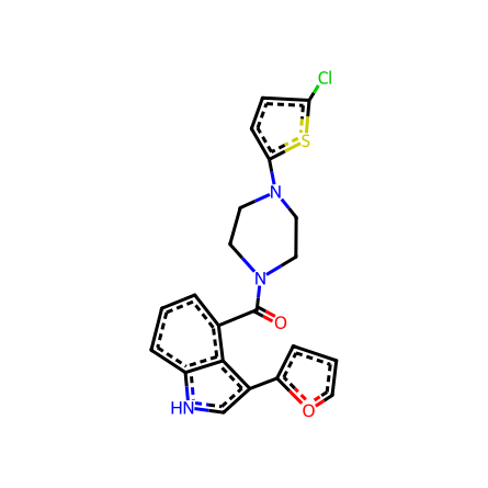 O=C(c1cccc2[nH]cc(-c3ccco3)c12)N1CCN(c2ccc(Cl)s2)CC1